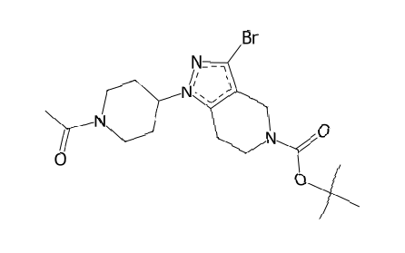 CC(=O)N1CCC(n2nc(Br)c3c2CCN(C(=O)OC(C)(C)C)C3)CC1